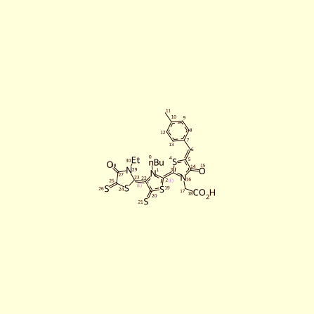 CCCCn1/c(=c2\sc(=Cc3ccc(C)cc3)c(=O)n2CC(=O)O)sc(=S)/c1=C1\SC(=S)C(=O)N1CC